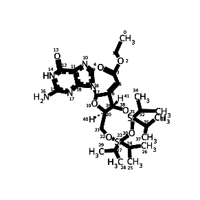 CCOC(=O)/C=C1\[C@H](n2cnc3c(=O)[nH]c(N)nc32)O[C@@H]2CO[Si](C(C)C)(C(C)C)O[Si](C(C)C)(C(C)C)O[C@@H]12